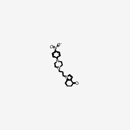 O=C1CCCc2c1ccn2CCCN1CCN(c2ccc([N+](=O)[O-])cc2)CC1